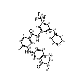 Cc1ccc(C(=O)Nc2cc(CN3CCOCC3)cc(C(F)(F)F)c2)cc1Nc1ccc2ncn(C)c(=O)c2c1